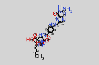 CCCCCCC(CC(NC(=O)c1ccc(NCc2cnc3nc(N)[nH]c(=O)c3n2)cc1)C(=O)O)(N[NH])C(=O)O